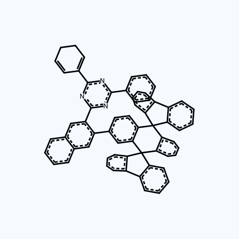 C1=CC(c2nc(-c3ccccc3)nc(-c3cc4ccccc4cc3-c3ccc4c(c3)C3(c5ccccc5-c5ccccc53)c3ccccc3C43c4ccccc4-c4ccccc43)n2)=CCC1